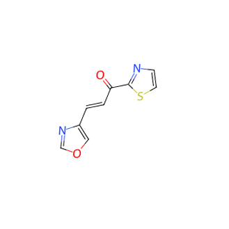 O=C(C=Cc1cocn1)c1nccs1